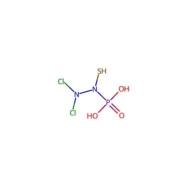 O=P(O)(O)N(S)N(Cl)Cl